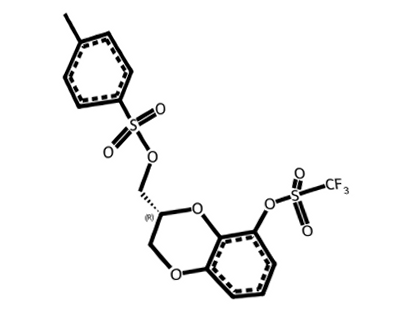 Cc1ccc(S(=O)(=O)OC[C@H]2COc3cccc(OS(=O)(=O)C(F)(F)F)c3O2)cc1